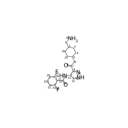 NCC1CCC(CC(=O)c2n[nH]cc2NC(=O)c2c(F)cccc2F)CC1